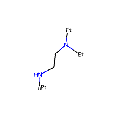 [CH2]CCNCCN(CC)CC